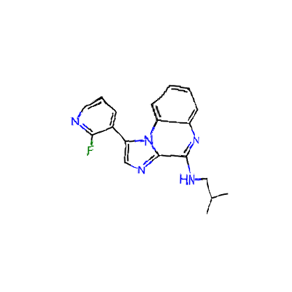 CC(C)CNc1nc2ccccc2n2c(-c3cccnc3F)cnc12